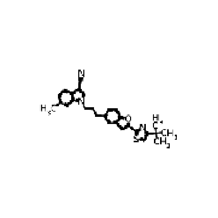 Cc1ccc2c(C#N)cn(CCCc3ccc4oc(-c5nc(C(C)(C)C)cs5)cc4c3)c2c1